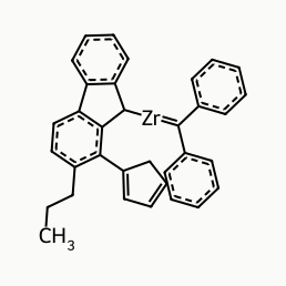 CCCc1ccc2c(c1C1=CC=CC1)[CH]([Zr]=[C](c1ccccc1)c1ccccc1)c1ccccc1-2